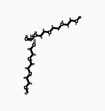 COCCOCCOCCO[PH](=O)OCCOCCOCCOC